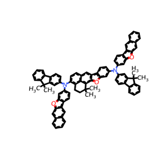 CC1(C)CCc2c(N(c3ccc4c(c3)C(C)(C)c3ccccc3-4)c3ccc4c(c3)oc3cc5ccccc5cc34)ccc3cc4c(oc5cc(N(c6ccc7c(c6)C(C)(C)c6ccccc6-7)c6ccc7c(c6)oc6cc8ccccc8cc67)ccc54)c1c23